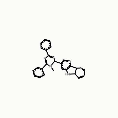 CN1C(c2ccccc2)=NC(c2ccccc2)=NC1c1cnc2c(c1)NC1C=CC=NC21